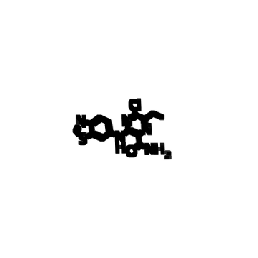 CCc1nc(C(N)=O)c(Nc2ccc3ncsc3c2)nc1Cl